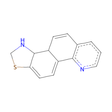 C1=CC2C(=CC=C3SCNC32)c2ncccc21